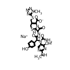 CNc1ncc(N(C(N)=O)C(C(=O)NC2C(=O)N3C(C(=O)[O-])=C(CSc4nnnn4C)CS[C@@H]23)c2ccc(O)cc2)c(O)n1.[Na+]